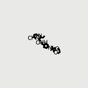 CCc1nc2ccc(Cl)cn2c1C(=O)NCc1ccc(N2CC3(C2)CC2(C3)OCCCO2)cc1